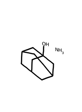 N.OC12CC3CC(CC(C3)C1)C2